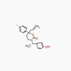 C=CCC1(c2ccc(F)cc2)CCN([C@@H](C)c2ccc(O)cc2)C(=O)O1